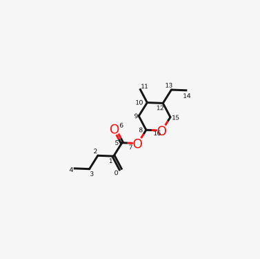 C=C(CCC)C(=O)OC1CC(C)C(CC)CO1